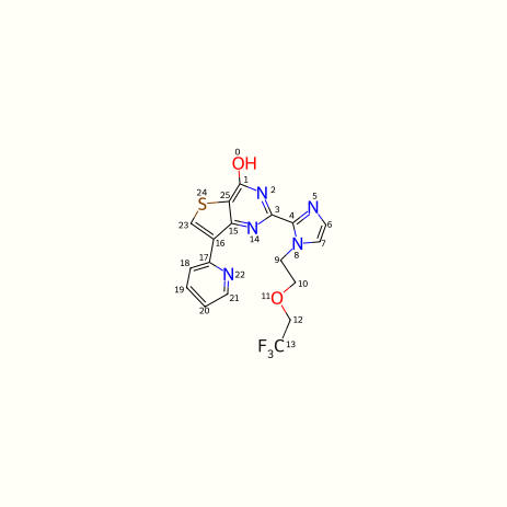 Oc1nc(-c2nccn2CCOCC(F)(F)F)nc2c(-c3ccccn3)csc12